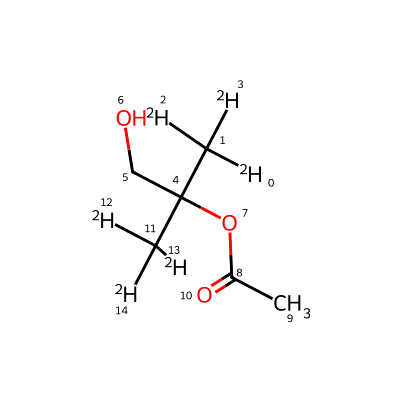 [2H]C([2H])([2H])C(CO)(OC(C)=O)C([2H])([2H])[2H]